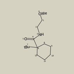 COCCNC(=O)C1(C(C)(C)C)CCCCC1